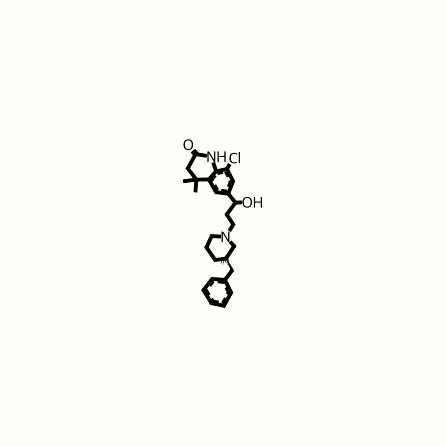 CC1(C)CC(=O)Nc2c(Cl)cc(C(O)CCN3CCC[C@H](Cc4ccccc4)C3)cc21